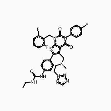 CCNC(=O)Nc1ccc(-c2sc3c(c2CN(C)CCn2ncnn2)c(=O)n(-c2ccc(F)cc2)c(=O)n3Cc2c(F)cccc2F)cc1